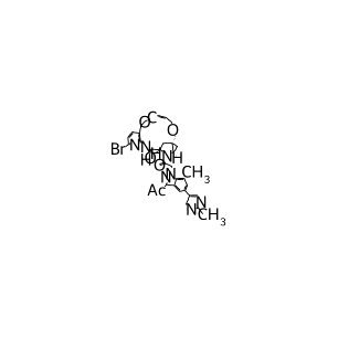 CC(=O)c1nn(CC(=O)N2[C@H]3C[C@@]4(COCC=CCOCc5ccc(Br)nc5NC3=O)C[C@@H]24)c2c(C)cc(-c3cnc(C)nc3)cc12